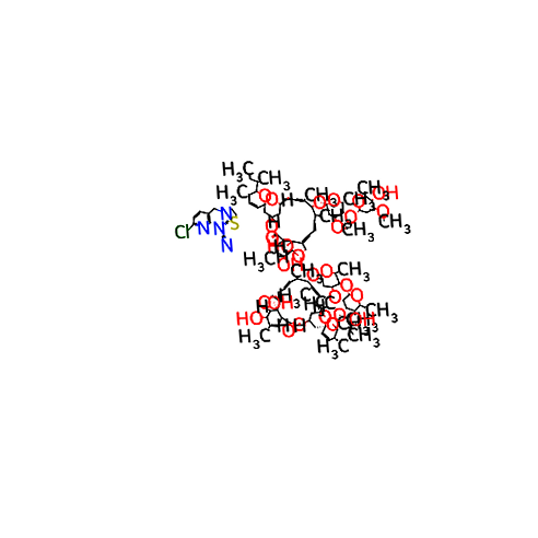 CC[C@H](C)[C@H]1O[C@]2(C=C[C@@H]1C)C[C@@H]1C[C@@H](C/C=C(\C)[C@@H](O[C@H]3C[C@H](OC)[C@@H](O[C@H]4C[C@H](OC)[C@@H](O)[C@H](C)O4)[C@H](C)O3)[C@@H](C)/C=C/C=C3\CO[C@@H]4[C@H](O)C(C)=C[C@@H](C(=O)O1)[C@]34O)O2.CO[C@H]1C[C@H](O[C@H]2[C@H](C)O[C@@H](O[C@@H]3/C(C)=C/C[C@@H]4C[C@@H](C[C@]5(C=C[C@H](C)[C@@H](C(C)C)O5)O4)OC(=O)[C@@H]4C=C(C)[C@@H](O)[C@H]5OC/C(=C\C=C\[C@@H]3C)[C@]54O)C[C@@H]2OC)O[C@@H](C)[C@@H]1O.N#C/N=C1\SCCN1Cc1ccc(Cl)nc1